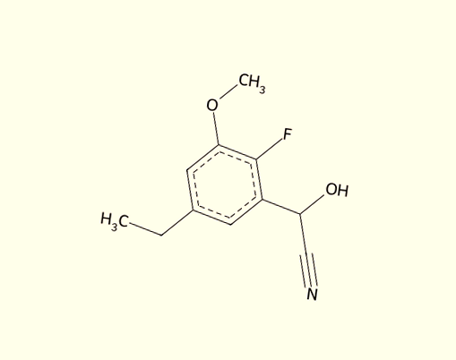 CCc1cc(OC)c(F)c(C(O)C#N)c1